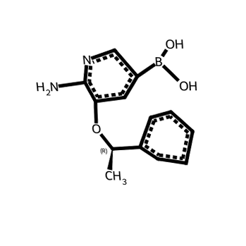 C[C@@H](Oc1cc(B(O)O)cnc1N)c1ccccc1